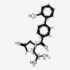 Cc1ccccc1-c1ccc(C(=O)N2CC(=O)C[C@H]2[C@@H](C)O)cc1